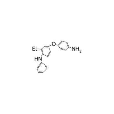 CCc1cc(Oc2ccc(N)cc2)ccc1Nc1ccccc1